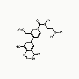 COCc1cc(C(=O)N(CCN(C(C)C)C(C)C)C(C)C)ccc1-c1cc(O)c2nc[nH]c(=O)c2c1